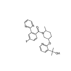 CC1CCC(Oc2ncccc2C(C)(C)O)CN1C(=O)c1ccc(F)cc1-c1ncccn1